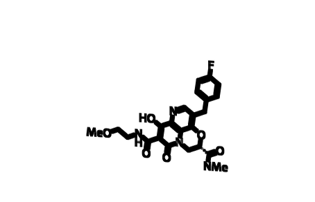 CNC(=O)[C@@H]1Cn2c(=O)c(C(=O)NCCOC)c(O)c3ncc(Cc4ccc(F)cc4)c(c32)O1